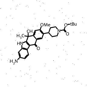 COc1cc2c(cc1C1CCN(C(=O)OC(C)(C)C)CC1)C(=O)c1c([nH]c3cc(N)ccc13)C2(C)C